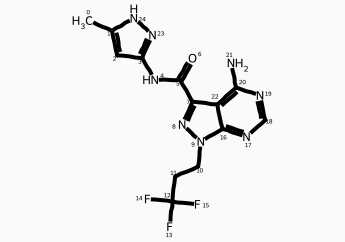 Cc1cc(NC(=O)c2nn(CCC(F)(F)F)c3ncnc(N)c23)n[nH]1